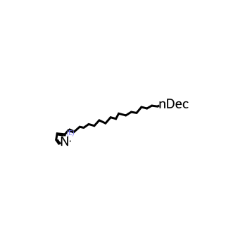 CCCCCCCCCCCCCCCCCCCCCCCCCC/C=C/C1=CC=C[N]1